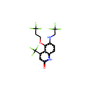 O=c1cc(C(F)(F)F)c2c(OCCC(F)(F)F)c(NCC(F)(F)F)ccc2[nH]1